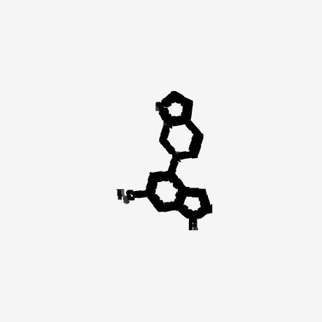 FC(F)(F)c1cc(N2C=Cc3ccnn3C2)c2cn[nH]c2c1